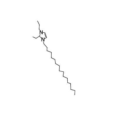 CCCCCCCCCCCCCCCCCN1C=CN(CCC)C1CC